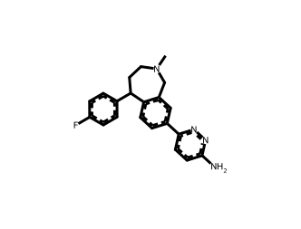 CN1CCC(c2ccc(F)cc2)c2ccc(-c3ccc(N)nn3)cc2C1